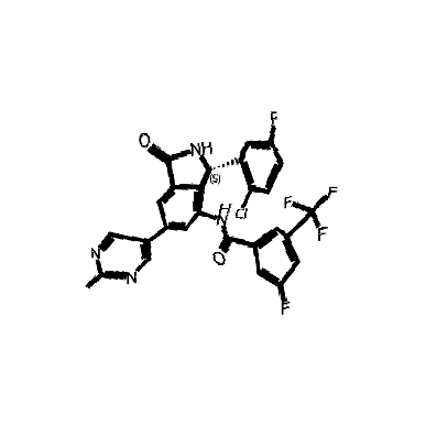 Cc1ncc(-c2cc(NC(=O)c3cc(F)cc(C(F)(F)F)c3)c3c(c2)C(=O)N[C@@H]3c2cc(F)ccc2Cl)cn1